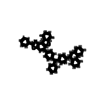 c1ccc(-c2nc3c(cc(-c4ccc(N(c5ccccc5)c5ccc(-c6cc7ccccc7c7ccccc67)cc5)cc4)c4oc5ccccc5c43)o2)cc1